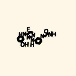 CNC(=O)/C=N/c1cccc(Nc2ncc(F)c(Nc3cccc(O)c3)n2)c1